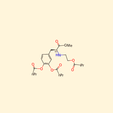 CCCC(=O)Oc1ccc(C[C@H](NCCOC(=O)C(C)C)C(=O)OC)cc1OC(=O)CCC